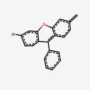 C=c1ccc2c(c1)Oc1cc(C(C)C)ccc1C=2c1ccccc1